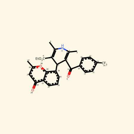 CCOC(=O)C1=C(C)NC(C)=C(C(=O)c2ccc(C(F)(F)F)cc2)C1c1cccc2c(=O)cc(C)oc12